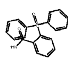 [NH]C(=O)c1ccccc1P(=O)(c1ccccc1)c1ccccc1